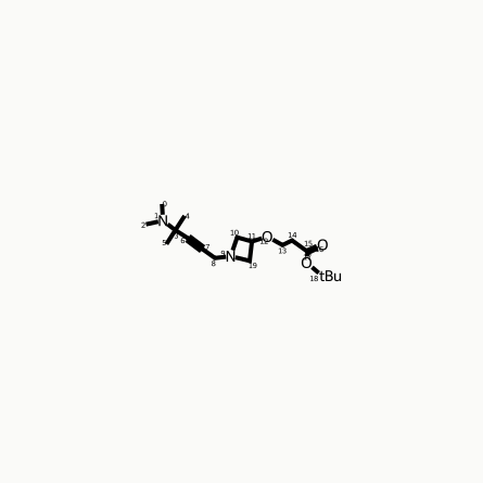 CN(C)C(C)(C)C#CCN1CC(OCCC(=O)OC(C)(C)C)C1